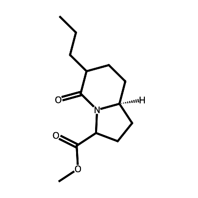 CCCC1CC[C@H]2CCC(C(=O)OC)N2C1=O